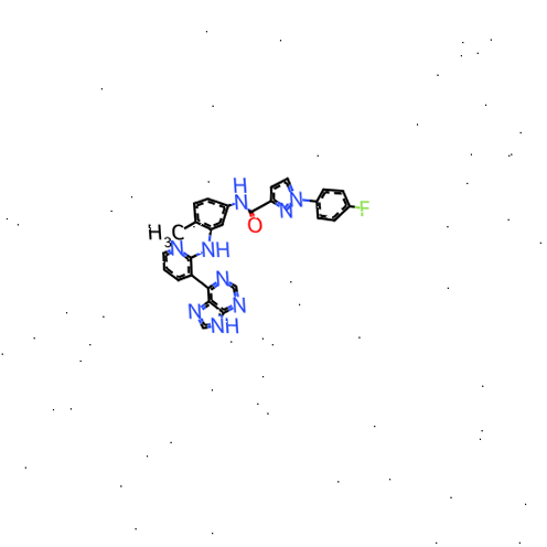 Cc1ccc(NC(=O)c2ccn(-c3ccc(F)cc3)n2)cc1Nc1ncccc1-c1ncnc2[nH]cnc12